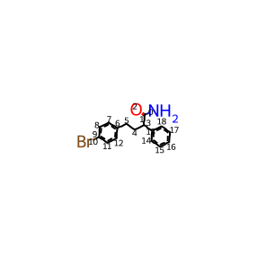 NC(=O)C(CCc1ccc(Br)cc1)c1ccccc1